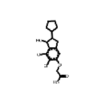 O=C(O)COc1cc2c(c(Cl)c1Cl)C(O)C(C1CCCC1)C2